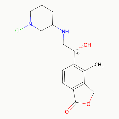 Cc1c([C@@H](O)CNC2CCCN(Cl)C2)ccc2c1COC2=O